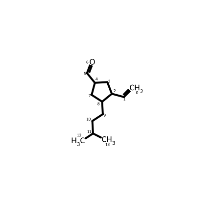 C=CC1CC(C=O)CC1CCC(C)C